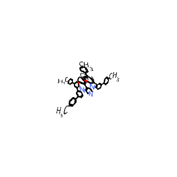 Cc1ccc(-c2ccc3c(c2)c2cc(-c4ccc(C)cc4)ccc2n3-c2cncc(-n3c4ccc(-c5ccc(C)cc5)cc4c4cc(-c5ccc(C)cc5)ccc43)c2-c2cccc(C#N)c2)cc1